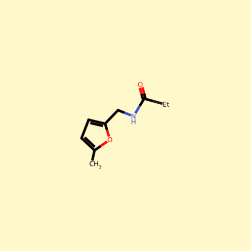 CCC(=O)NCc1ccc(C)o1